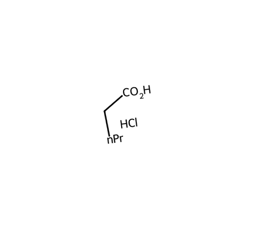 CCCCC(=O)O.Cl